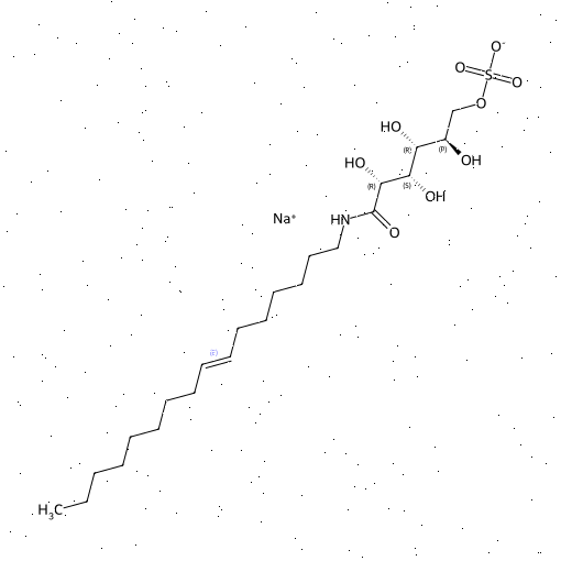 CCCCCCCC/C=C/CCCCCCNC(=O)[C@H](O)[C@@H](O)[C@H](O)[C@H](O)COS(=O)(=O)[O-].[Na+]